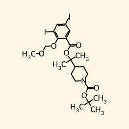 COCOc1c(I)cc(I)cc1C(=O)OC(C)(C)C1CCN(C(=O)OC(C)(C)C)CC1